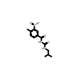 CC(C)CNC(=O)NC(=O)c1ccc(I)c([N+](=O)[O-])c1